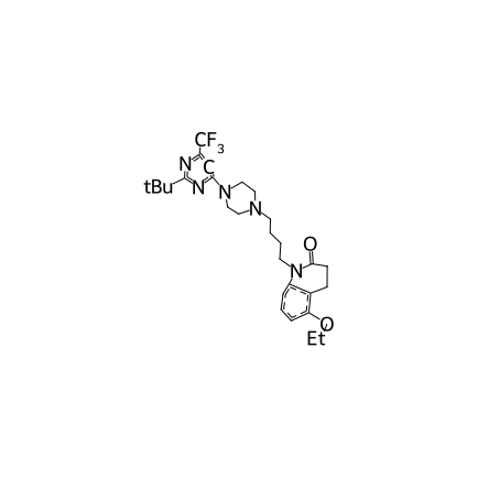 CCOc1cccc2c1CCC(=O)N2CCCCN1CCN(c2cc(C(F)(F)F)nc(C(C)(C)C)n2)CC1